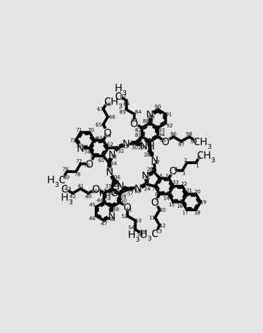 CCCCOc1c2c(c(OCCCC)c3cc4ccccc4cc13)-c1nc-2nc2[nH]c(nc3nc(nc4c5c(OCCCC)c6cccnc6c(OCCCC)c5c(n1)n4C)-c1c-3c(OCCCC)c3cccnc3c1OCCCC)c1c(OCCCC)c3ncccc3c(OCCCC)c21